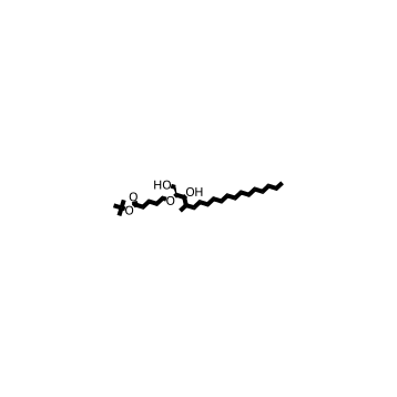 CCCCCCCCCCCCCCC(C)C(O)[C@H](CO)OCCCCC(=O)OC(C)(C)C